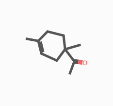 CC(=O)C1(C)CC=C(C)CC1